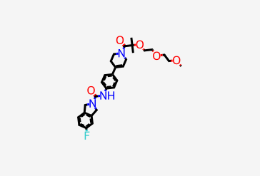 COCCOCCOC(C)(C)C(=O)N1CC=C(c2ccc(NC(=O)N3Cc4ccc(F)cc4C3)cc2)CC1